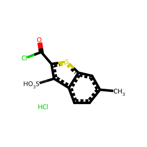 Cc1ccc2c(S(=O)(=O)O)c(C(=O)Cl)sc2c1.Cl